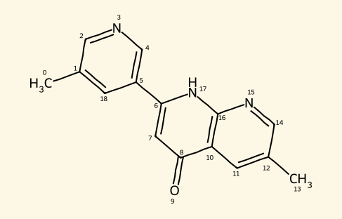 Cc1cncc(-c2cc(=O)c3cc(C)cnc3[nH]2)c1